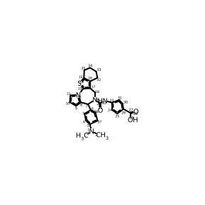 CN(C)c1ccc(C2c3cccn3-c3sc4c(c3CN2C(=O)Nc2ccc(C(=O)O)cc2)CCCC4)cc1